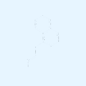 ON=[C]Cc1cccc2ccccc12